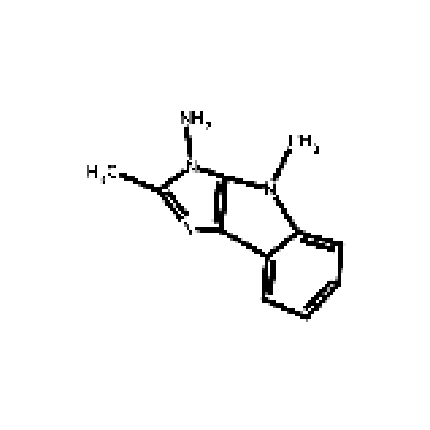 Cc1nc2c3ccccc3n(C)c2n1N